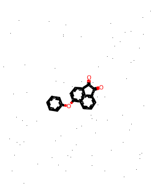 O=C1C(=O)c2ccc(Oc3ccccc3)c3cccc1c23